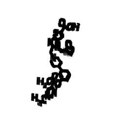 Cn1cnc([C@@]2(C)Oc3cccc(C4CCN(Cc5nc6sc(C(=O)O)cc6n5C[C@@H]5CCO5)CC4)c3O2)c1